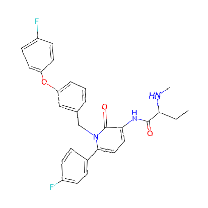 CCC(NC)C(=O)Nc1ccc(-c2ccc(F)cc2)n(Cc2cccc(Oc3ccc(F)cc3)c2)c1=O